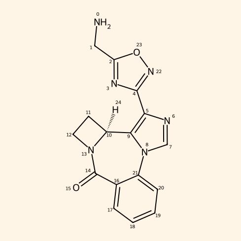 NCc1nc(-c2ncn3c2[C@@H]2CCN2C(=O)c2ccccc2-3)no1